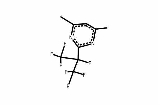 Cc1[c]c(C)nc(C(F)(C(F)(F)F)C(F)(F)F)n1